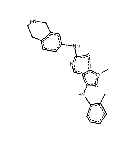 Cc1ccccc1Nc1nn(C)c2nc(Nc3ccc4c(c3)CNCC4)ncc12